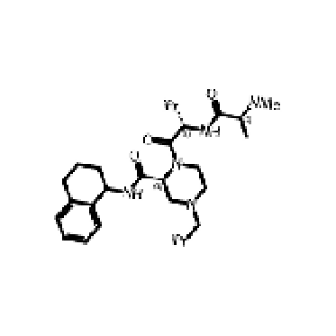 CN[C@@H](C)C(=O)N[C@H](C(=O)N1CCN(CC(C)C)C[C@H]1C(=O)NC1CCCc2ccccc21)C(C)C